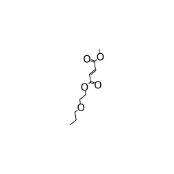 CCCOCCOC(=O)/C=C/C(=O)OC